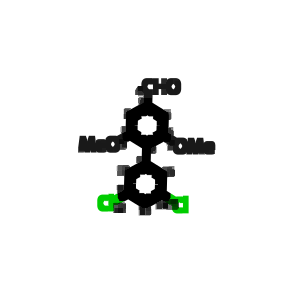 COc1cc(C=O)cc(OC)c1-c1cc(Cl)cc(Cl)c1